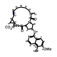 COc1ccc2c(OC3CC4C(=O)NC5(C(=O)O)CC5/C=C/CCCCN(C)C(=O)N4C3)nccc2c1Br